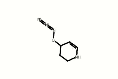 [N-]=[N+]=NOC1C=CNCC1